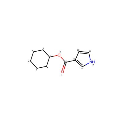 O=C(OC1CCCCC1)c1cc[nH]c1